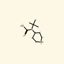 CC(C)(C)N(C(=O)O)C1CCNCC1